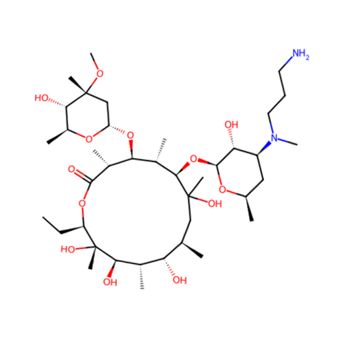 CC[C@H]1OC(=O)[C@H](C)[C@@H](O[C@H]2C[C@@](C)(OC)[C@@H](O)[C@H](C)O2)[C@H](C)[C@@H](O[C@@H]2O[C@H](C)C[C@H](N(C)CCCN)[C@H]2O)C(C)(O)C[C@@H](C)[C@H](O)[C@H](C)[C@@H](O)[C@]1(C)O